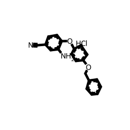 Cl.N#Cc1ccc(Oc2ccc(OCc3ccccc3)cc2)c(N)c1